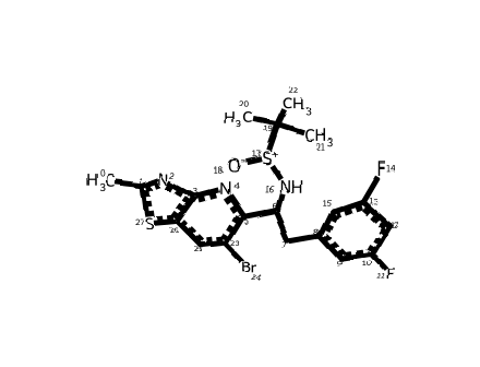 Cc1nc2nc(C(Cc3cc(F)cc(F)c3)N[S+]([O-])C(C)(C)C)c(Br)cc2s1